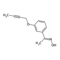 CC#CCOc1cccc(C(C)=NO)c1